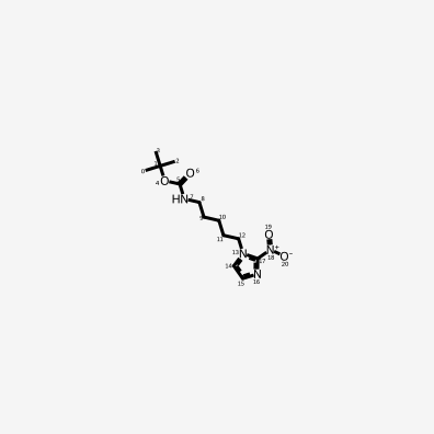 CC(C)(C)OC(=O)NCCCCCn1ccnc1[N+](=O)[O-]